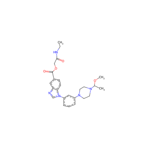 CCNC(=O)COC(=O)c1ccc2c(c1)ncn2-c1cccc(N2CCN(C(C)OC)CC2)c1